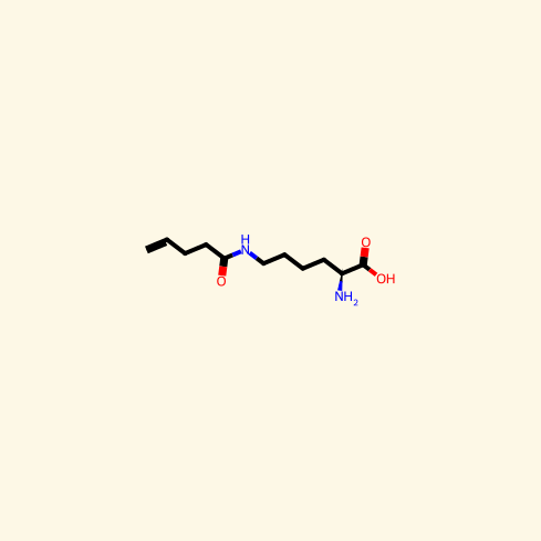 C=CCCC(=O)NCCCC[C@H](N)C(=O)O